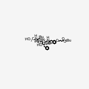 CC[C@H](C)[C@H](NC(=O)C[C@H](O)[C@H](Cc1ccccc1)NC(=O)[C@@](C)(NC(=O)Cc1cccc(OCCCC(=O)OC(C)(C)C)c1)[C@@H](C)CC)C(=O)N[C@H](C(=O)O)C(C)C